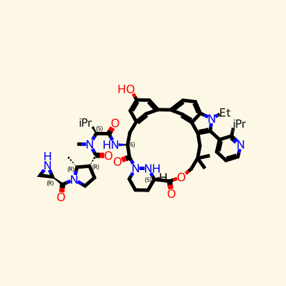 CCn1c(-c2cccnc2C(C)C)c2c3cc(ccc31)-c1cc(O)cc(c1)C[C@H](NC(=O)[C@H](C(C)C)N(C)C(=O)[C@@H]1CCN(C(=O)[C@H]3CN3)[C@@H]1C)C(=O)N1CCC[C@H](N1)C(=O)OCC(C)(C)C2